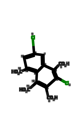 O=C(O)c1c(Cl)c(C(=O)O)c2cc(Cl)cc(C(=O)O)c2c1C(=O)O